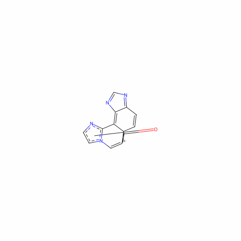 O=C1C=CC2=Cn3ccnc3C3=C4N=CN=C4C=CC23C1